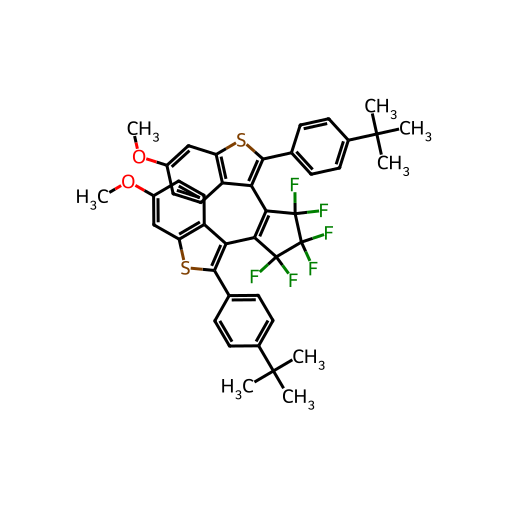 COc1ccc2c(C3=C(c4c(-c5ccc(C(C)(C)C)cc5)sc5cc(OC)ccc45)C(F)(F)C(F)(F)C3(F)F)c(-c3ccc(C(C)(C)C)cc3)sc2c1